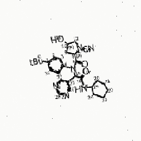 CC(C)(C)c1ccc(N(C(=O)[C@H]2C[C@@H](O)CN2C#N)C(C(=O)NC2CCCCC2)c2cncnc2)cc1